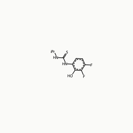 CC(C)NC(=S)Nc1ccc(F)c(F)c1O